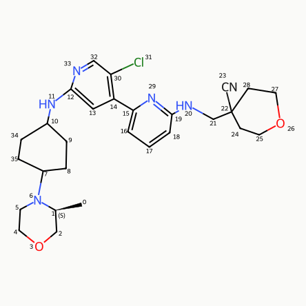 C[C@H]1COCCN1C1CCC(Nc2cc(-c3cccc(NCC4(C#N)CCOCC4)n3)c(Cl)cn2)CC1